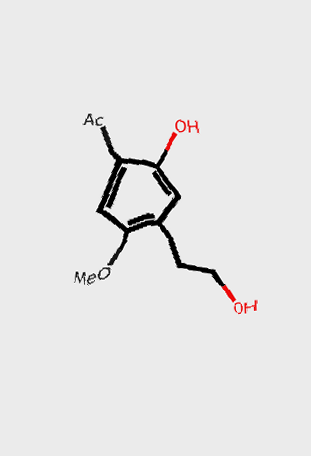 COc1cc(C(C)=O)c(O)cc1CCO